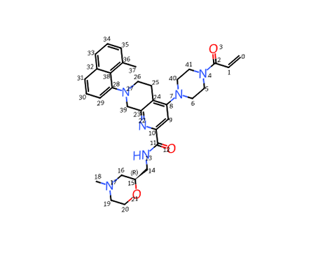 C=CC(=O)N1CCN(c2cc(C(=O)NC[C@@H]3CN(C)CCO3)nc3c2CCN(c2cccc4cccc(C)c24)C3)CC1